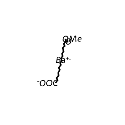 COC(=O)CCCCCCCCCCCCCCCCC(=O)[O-].[Ba+]